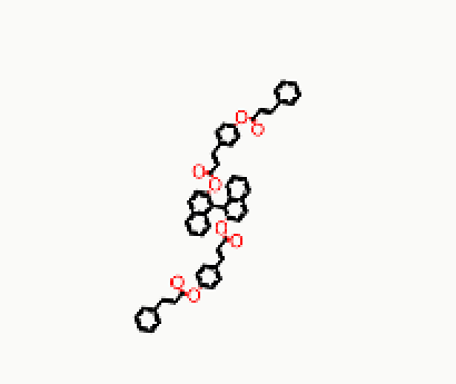 O=C(/C=C/c1ccccc1)Oc1ccc(/C=C/C(=O)Oc2ccc3ccccc3c2-c2c(OC(=O)/C=C/c3ccc(OC(=O)/C=C/c4ccccc4)cc3)ccc3ccccc23)cc1